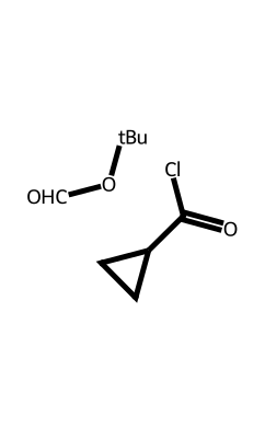 CC(C)(C)OC=O.O=C(Cl)C1CC1